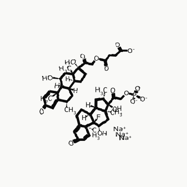 C[C@H]1C[C@@H]2[C@H]([C@@H](O)C[C@@]3(C)[C@H]2CC[C@]3(O)C(=O)COC(=O)CCC(=O)[O-])[C@@]2(C)C=CC(=O)C=C12.C[C@H]1C[C@H]2[C@@H]3CCC4=CC(=O)C=C[C@]4(C)[C@@]3(F)[C@@H](O)C[C@]2(C)[C@@]1(O)C(=O)COP(=O)([O-])[O-].[Na+].[Na+].[Na+]